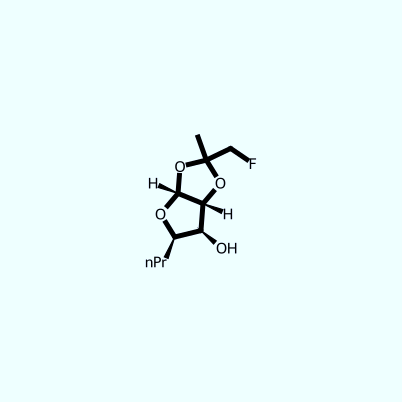 CCC[C@H]1O[C@@H]2OC(C)(CF)O[C@@H]2[C@H]1O